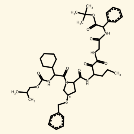 CCCC(NC(=O)C1C[C@@H](SCc2ccccc2)CN1C(=O)C(NC(=O)OCC(C)C)C1CCCCC1)C(=O)C(=O)NCC(=O)NC(C(=O)OC(C)(C)C)c1ccccc1